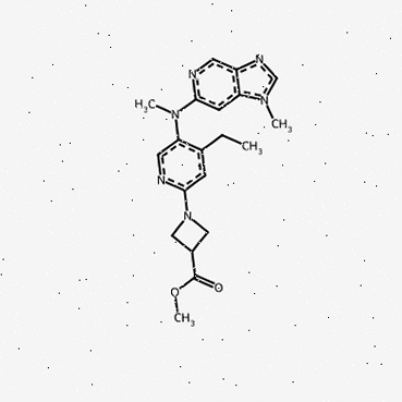 CCc1cc(N2CC(C(=O)OC)C2)ncc1N(C)c1cc2c(cn1)ncn2C